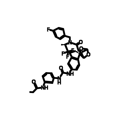 CCC(=O)Nc1cccc(NC(=O)Nc2ccc3c(c2)CC[C@@]32OC3OC2N3CC(=O)N(Cc2ccc(F)cc2)[C@@H](C)C(F)(F)F)c1